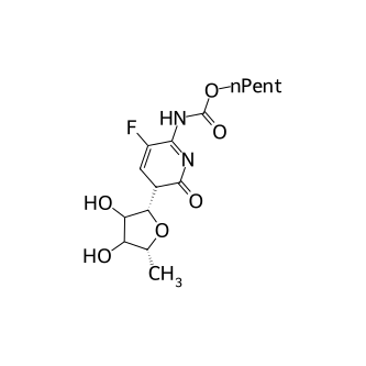 CCCCCOC(=O)NC1=NC(=O)C([C@@H]2O[C@H](C)C(O)C2O)C=C1F